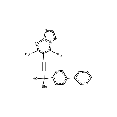 Cc1nc2ncnn2c(N)c1C#CC(O)(c1ccc(-c2ccccc2)cc1)C(C)(C)C